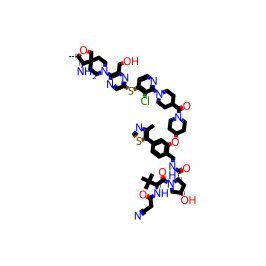 Cc1ncsc1-c1ccc(CNC(=O)[C@@H]2C[C@@H](O)CN2C(=O)[C@@H](NC(=O)CC#N)C(C)(C)C)c(OC2CCN(C(=O)C3CCN(c4nccc(Sc5cnc(N6CCC7(CC6)CO[C@@H](C)[C@H]7N)c(CO)n5)c4Cl)CC3)CC2)c1